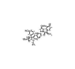 CO[C@@H]1C[C@@H](C(=O)Nc2cc(C(CCC3CC3)(N[S+]([O-])C(C)(C)C)c3cccc(C#N)c3)ccc2F)N(C(=O)N(C)c2ccc(Cl)cc2)C1